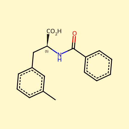 Cc1cccc(C[C@H](NC(=O)c2ccccc2)C(=O)O)c1